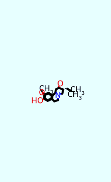 COc1cc2c(cc1O)CCN1C[C@@H](CC(C)C)C(=O)CC21